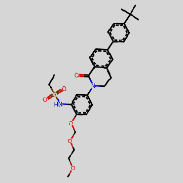 CCS(=O)(=O)Nc1cc(N2CCc3cc(-c4ccc(C(C)(C)C)cc4)ccc3C2=O)ccc1OCOCCOC